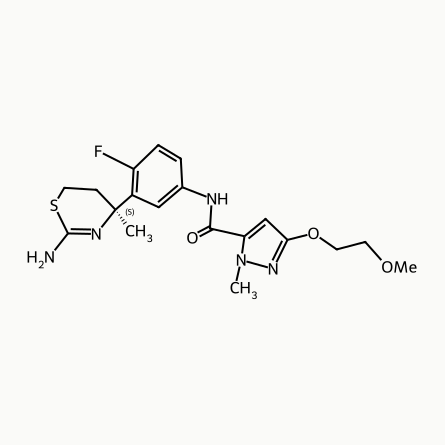 COCCOc1cc(C(=O)Nc2ccc(F)c([C@]3(C)CCSC(N)=N3)c2)n(C)n1